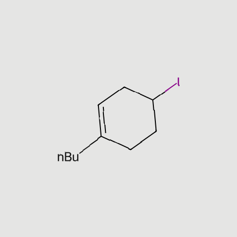 CCCCC1=CCC(I)CC1